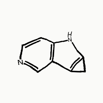 c1cc2[nH]c3c(c2cn1)C3